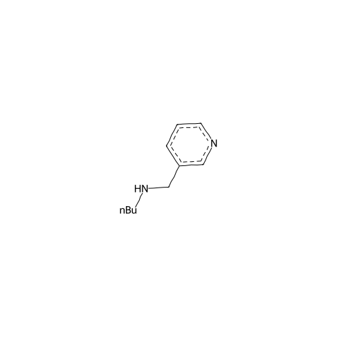 CC[CH]CNCc1cccnc1